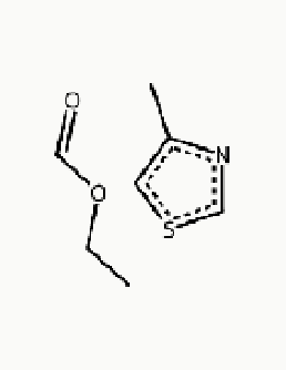 CCOC=O.Cc1cscn1